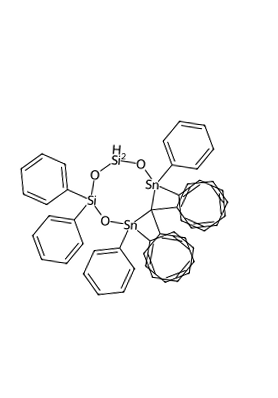 c1ccc([C]2(c3ccccc3)[Sn]([c]3ccccc3)([c]3ccccc3)[O][SiH2]O[Si](c3ccccc3)(c3ccccc3)[O][Sn]2([c]2ccccc2)[c]2ccccc2)cc1